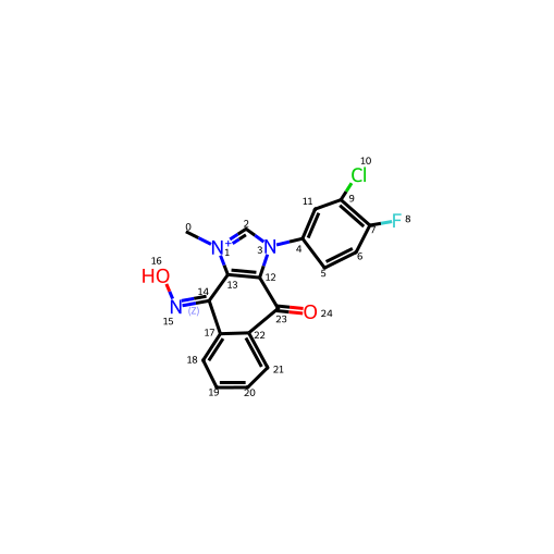 C[n+]1cn(-c2ccc(F)c(Cl)c2)c2c1/C(=N\O)c1ccccc1C2=O